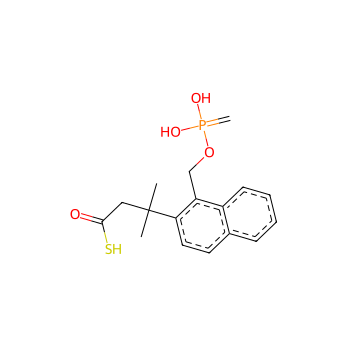 C=P(O)(O)OCc1c(C(C)(C)CC(=O)S)ccc2ccccc12